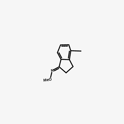 CON=C1CCc2c(C)cccc21